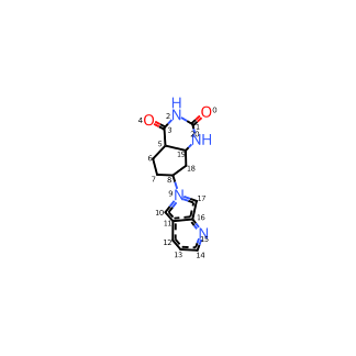 O=C1NC(=O)C2CCC(n3cc4cccnc4c3)CC2N1